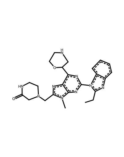 CCc1nc2ccccc2n1-c1nc(C2CNCCO2)c2nc(CN3CCNC(=O)C3)n(C)c2n1